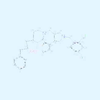 O[C@H](Cc1ccccc1)CC1CCN(CC2CN(Cc3ccc(Cl)cc3Cl)CC2c2ccsc2)CC1